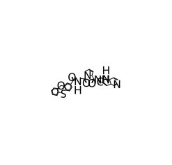 O=C(NCC(=O)N1CC=CC1C(=O)NCC1=CC2C=NC=CC2N1)c1ccc2c(c1)Oc1ccccc1S2